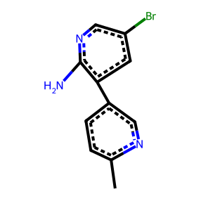 Cc1ccc(-c2cc(Br)cnc2N)cn1